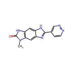 Cn1c(=O)[nH]c2cc3[nH]c(-c4ccnnc4)nc3cc21